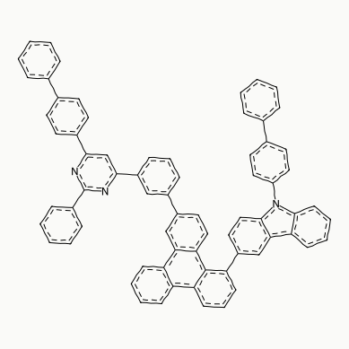 c1ccc(-c2ccc(-c3cc(-c4cccc(-c5ccc6c(c5)c5ccccc5c5cccc(-c7ccc8c(c7)c7ccccc7n8-c7ccc(-c8ccccc8)cc7)c56)c4)nc(-c4ccccc4)n3)cc2)cc1